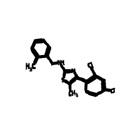 Cc1ccccc1CNc1nc(-c2ccc(Cl)cc2Cl)c(C)s1